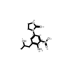 CC(O)Cc1cc(N2CCOC2=O)cc([N+](=O)[O-])c1N